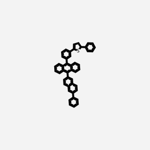 C1=C(c2cccc(-c3c4ccccc4c(-c4ccc5cc(-c6ccccc6)ccc5c4)c4ccccc34)c2)SC(c2ccccc2)C1